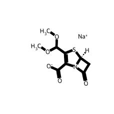 COC(OC)C1=C(C(=O)[O-])N2C(=O)C[C@@H]2S1.[Na+]